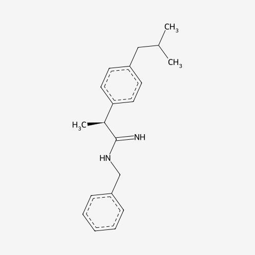 CC(C)Cc1ccc([C@H](C)C(=N)NCc2ccccc2)cc1